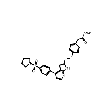 COC(=O)Cc1ccc(OCc2cc3c(-c4ccc(S(=O)(=O)N5CCCC5)cc4)ccnc3[nH]2)cc1